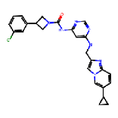 O=C(Nc1cc(NCc2cn3cc(C4CC4)ccc3n2)ncn1)N1CC(c2cccc(Cl)c2)C1